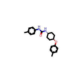 Cc1ccc(NC(=O)N[C@H]2CC[C@H](Oc3ccc(C)cc3)CC2)cc1